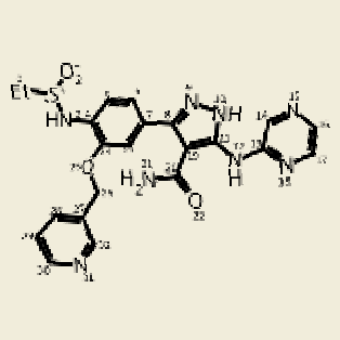 CC[S+]([O-])Nc1ccc(-c2n[nH]c(Nc3cnccn3)c2C(N)=O)cc1OCc1cccnc1